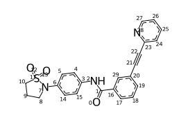 O=C(Nc1ccc(N2CCCS2(=O)=O)cc1)c1cccc(C#Cc2ccccn2)c1